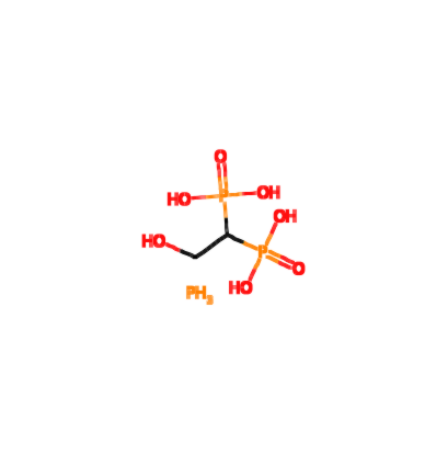 O=P(O)(O)C(CO)P(=O)(O)O.P